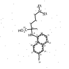 CCN(CC)CCCC(C)(Nc1ccnc2cc(F)ccc12)C(=O)O